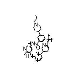 CCCN1CCC(c2cc(C(=O)Nc3cnc(C)c(Nc4nccc(-c5cccnc5)n4)c3)cc(C(F)(F)F)c2)CC1